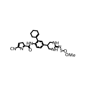 [C-]#[N+]C1=CCC(C(=O)Nc2ccc(C3CNC(=NSOOC)NC3)cc2C2=CCCCC2)=N1